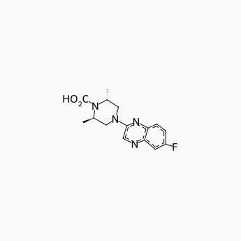 C[C@@H]1CN(c2cnc3cc(F)ccc3n2)C[C@@H](C)N1C(=O)O